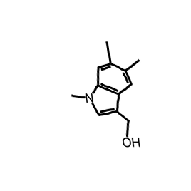 Cc1cc2c(CO)cn(C)c2cc1C